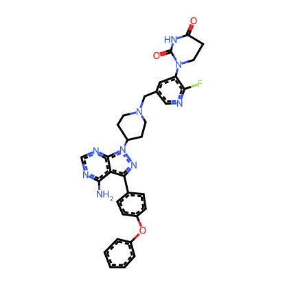 Nc1ncnc2c1c(-c1ccc(Oc3ccccc3)cc1)nn2C1CCN(Cc2cnc(F)c(N3CCC(=O)NC3=O)c2)CC1